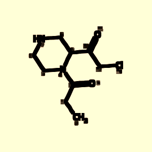 CCC(=O)N1CCNCC1C(=O)CCl